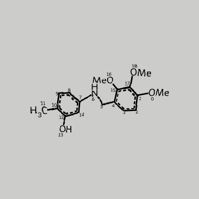 COc1ccc(CNc2ccc(C)c(O)c2)c(OC)c1OC